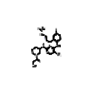 O=C(CO)N1CCCC(Nc2ncc(C(F)(F)F)c(Nc3ccc(F)cc3C/C=C/N[SH](=O)=O)n2)C1